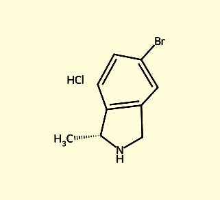 C[C@H]1NCc2cc(Br)ccc21.Cl